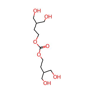 O=C(OCCC(CO)CO)OCCC(CO)CO